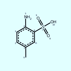 Cc1ccc(N)c(S(=O)(=O)O)c1